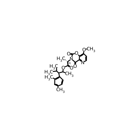 COc1ccnc2c(=O)n([C@@H](C)C(=O)OC(C)C(c3ccc(C)cc3C)C(C)C)c(=O)oc12